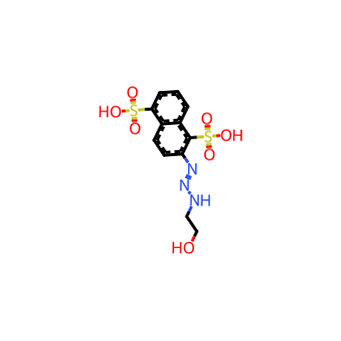 O=S(=O)(O)c1cccc2c(S(=O)(=O)O)c(N=NNCCO)ccc12